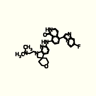 CN(C)CCN1CC2(CCOCC2)c2ccc(Nc3ccc(-c4cnc5cc(F)ccn45)c4cc[nH]c(=O)c34)nc21